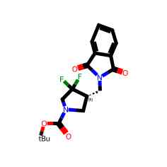 CC(C)(C)OC(=O)N1C[C@@H](CN2C(=O)c3ccccc3C2=O)C(F)(F)C1